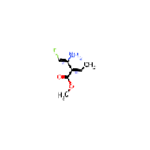 C/C=C(C(=O)OC)\C(N)=C\F